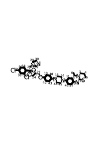 CCN1CCCSC1=Nc1ccc(N2CCN(c3ccc(OC[C@@H]4CO[C@@](Cn5ccnc5)(c5ccc(Cl)cc5Cl)O4)cc3)CC2)cc1